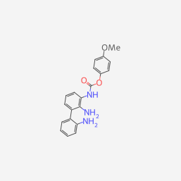 COc1ccc(OC(=O)Nc2cccc(-c3ccccc3N)c2N)cc1